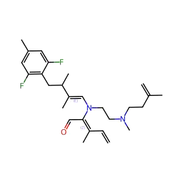 C=C/C(C)=C(/C=O)N(/C=C(\C)C(C)Cc1c(F)cc(C)cc1F)CCN(C)CCC(=C)C